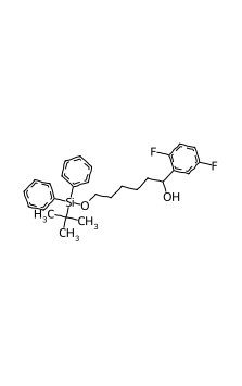 CC(C)(C)[Si](OCCCCCC(O)c1cc(F)ccc1F)(c1ccccc1)c1ccccc1